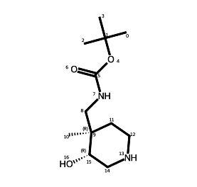 CC(C)(C)OC(=O)NC[C@@]1(C)CCNC[C@@H]1O